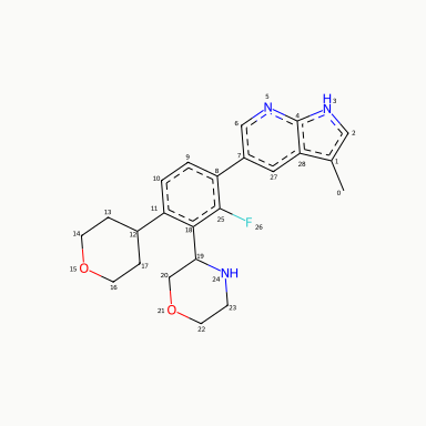 Cc1c[nH]c2ncc(-c3ccc(C4CCOCC4)c(C4COCCN4)c3F)cc12